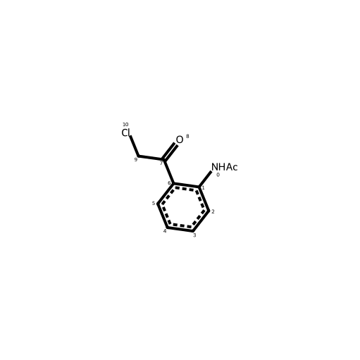 CC(=O)Nc1ccccc1C(=O)CCl